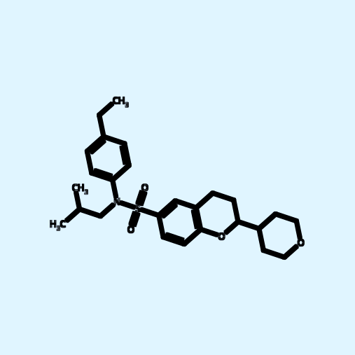 CCc1ccc(N(CC(C)C)S(=O)(=O)c2ccc3c(c2)CCC(C2CCOCC2)O3)cc1